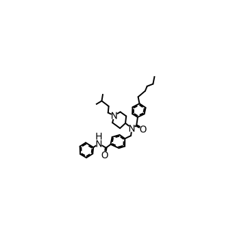 CCCCCc1ccc(C(=O)N(Cc2ccc(C(=O)Nc3ccccc3)cc2)C2CCN(CCC(C)C)CC2)cc1